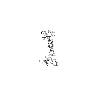 CC(C)(C[C@@H]1c2ccccc2CC12CCN(c1nc3sc(-c4cccc(Cl)c4Cl)nc3s1)CC2)[S+](N)[O-]